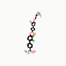 C=CCOc1ccc(-c2ccc(C(=O)Oc3ccc(-c4ccc(C(C)O)cc4)c(F)c3F)cc2)cc1F